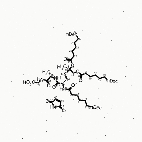 CCCCCCCCCCCCCCCC(=O)N[C@@H](CS[C@](C)(COC(=O)CCCCCCCCCCCCCCC)OC(=O)CCCCCCCCCCCCCCC)C(=O)N[C@@H](C)C(=O)NCC(=O)O.O=C1C=CC(=O)N1